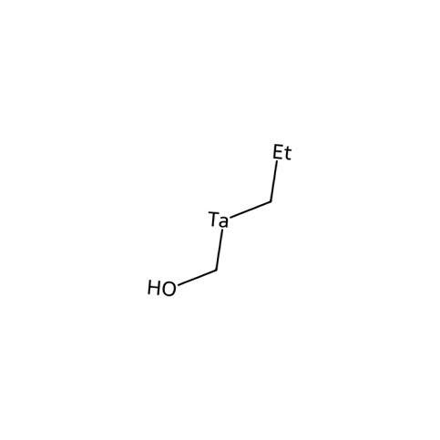 CC[CH2][Ta][CH2]O